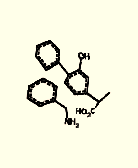 CC(C(=O)O)c1ccc(-c2ccccc2)c(O)c1.NCc1ccccc1